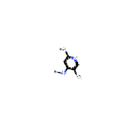 CCNc1cc(SC)ncc1[N+](=O)[O-]